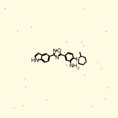 CC1CCCCN1c1ccc(-c2nc(-c3ccc4[nH]ccc4c3)no2)cc1N